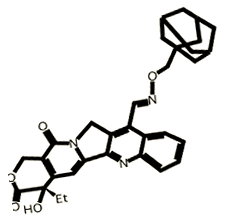 CC[C@@]1(O)C(=O)OCc2c1cc1n(c2=O)Cc2c-1nc1ccccc1c2C=NOCC12CC3CC(CC(C3)C1)C2